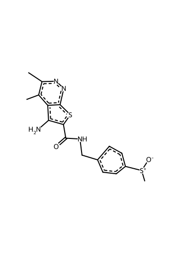 Cc1nnc2sc(C(=O)NCc3ccc([S+](C)[O-])cc3)c(N)c2c1C